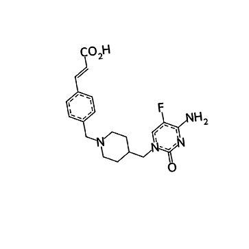 Nc1nc(=O)n(CC2CCN(Cc3ccc(C=CC(=O)O)cc3)CC2)cc1F